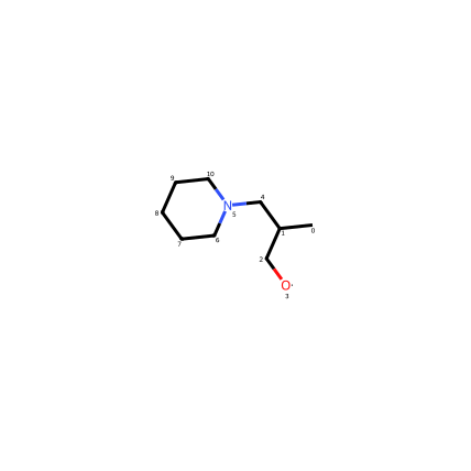 CC(C[O])CN1CCCCC1